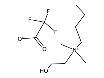 CCCC[N+](C)(C)CCO.O=C([O-])C(F)(F)F